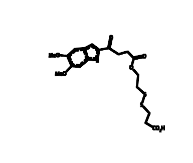 COc1cc2cc(C(=O)CCC(=O)OCCSSCCC(=O)O)sc2cc1OC